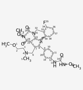 COCCN(C)Cc1c(-c2ccc(NC(=O)NOC)cc2)sc2c1c(=O)n(OC)c(=O)n2Cc1c(F)cccc1F